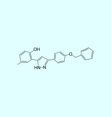 Cc1ccc(O)c(-c2cc(-c3ccc(OCc4ccccc4)cc3)n[nH]2)c1